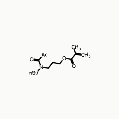 C=C(C)C(=O)OCCCN(CCCC)C(=O)C(C)=O